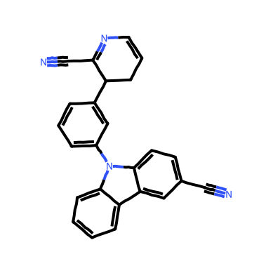 N#CC1=NC=CCC1c1cccc(-n2c3ccccc3c3cc(C#N)ccc32)c1